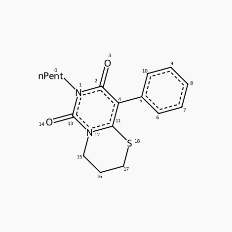 CCCCCn1c(=O)c(-c2ccccc2)c2n(c1=O)CCCS2